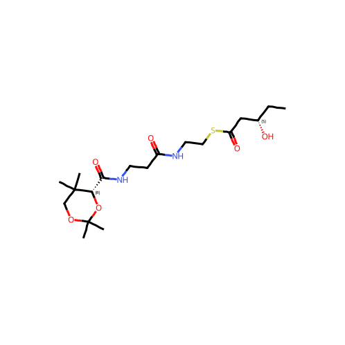 CC[C@H](O)CC(=O)SCCNC(=O)CCNC(=O)[C@@H]1OC(C)(C)OCC1(C)C